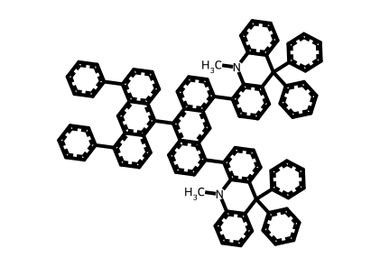 CN1c2ccccc2C(c2ccccc2)(c2ccccc2)c2cccc(-c3cccc4c(-c5c6cccc(-c7ccccc7)c6cc6c(-c7ccccc7)cccc56)c5cccc(-c6cccc7c6N(C)c6ccccc6C7(c6ccccc6)c6ccccc6)c5cc34)c21